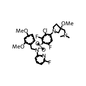 COc1ccc(CN(c2cccc(F)n2)S(=O)(=O)c2c(F)cc(N3CC[C@@](CN(C)C)(OC)C3)c(Cl)c2F)c(OC)c1